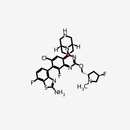 CN1C[C@H](F)C[C@H]1COc1nc(N2[C@@H]3CNC[C@H]2COC3)c2cc(Cl)c(-c3ccc(F)c4sc(N)nc34)c(F)c2n1